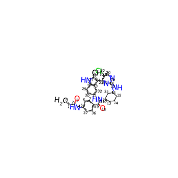 C=CC(=O)Nc1ccc(C(=O)N[C@H]2CCCC(Nc3ncc(Cl)c(-c4c(C)[nH]c5ccccc45)n3)C2)cc1